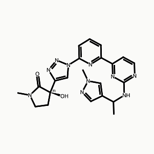 CC(Nc1nccc(-c2cccc(-n3cc([C@]4(O)CCN(C)C4=O)nn3)n2)n1)c1cnn(C)c1